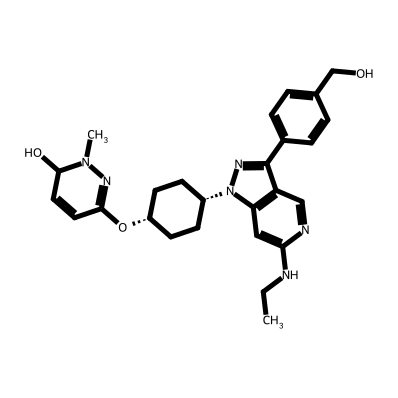 CCNc1cc2c(cn1)c(-c1ccc(CO)cc1)nn2[C@H]1CC[C@@H](OC2=NN(C)C(O)C=C2)CC1